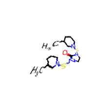 CC1CCCN(SN2CCN(SN3CCCC(C)C3)C2=O)C1